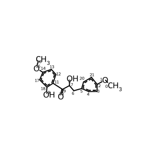 COc1ccc(CC(O)C(=O)c2ccc(OC)cc2O)cc1